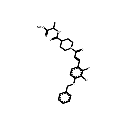 COC(=O)C(C)NC(=O)C1CCN(C(=O)C=Cc2ccc(SCc3ccccc3)c(Cl)c2Cl)CC1